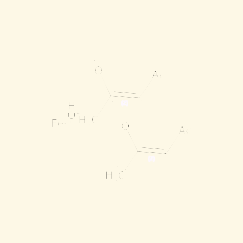 CC(=O)/C=C(/C)[O-].CC(=O)/C=C(/C)[O-].O.[Fe+2]